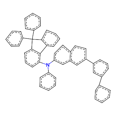 c1ccc(-c2cccc(-c3ccc4ccc(N(c5ccccc5)c5cccc6c5-c5ccccc5C6(c5ccccc5)c5ccccc5)cc4c3)c2)cc1